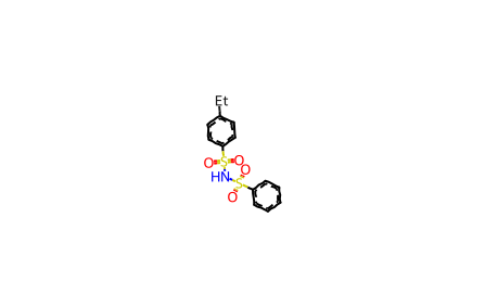 CCc1ccc(S(=O)(=O)NS(=O)(=O)c2ccccc2)cc1